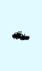 CC(CCSc1nc2ccccc2c(=O)n1-c1cccc(Cl)c1)CC(=O)N1CCC2(CCN(Cc3ccccc3)C2)C1